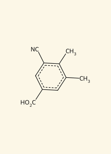 Cc1cc(C(=O)O)cc(C#N)c1C